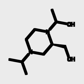 CC(C)N1CCN(C(C)O)[C@@H](CO)C1